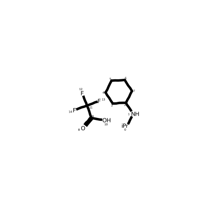 CC(C)NC1CCCCC1.O=C(O)C(F)(F)F